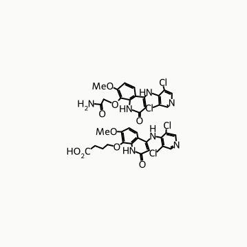 COc1ccc2c(Nc3c(Cl)cncc3Cl)cc(=O)[nH]c2c1OCC(N)=O.COc1ccc2c(Nc3c(Cl)cncc3Cl)cc(=O)[nH]c2c1OCCCC(=O)O